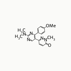 COc1ccc(-c2nc(N(C)C)ncc2-c2ccc(=O)n(C)n2)cc1